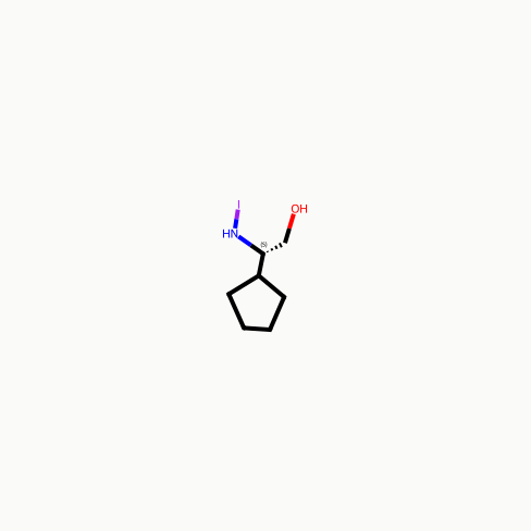 OC[C@@H](NI)C1CCCC1